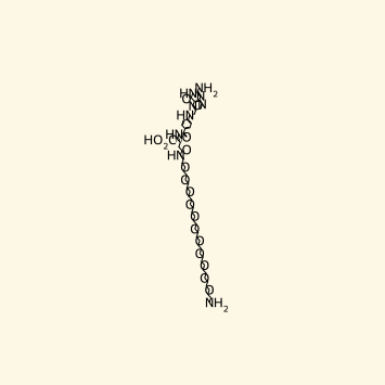 NCCOCCOCCOCCOCCOCCOCCOCCOCCOCCOCCOCCNC(=O)CC[C@H](NC(=O)c1ccc(NCc2cnc3nc(N)[nH]c(=O)c3n2)cc1)C(=O)O